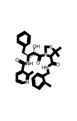 Cc1ccccc1CNC(=O)C1N(C(=O)[C@@H](O)[C@H](Cc2ccccc2)NC(=O)c2cccnc2C)CSC1(C)C